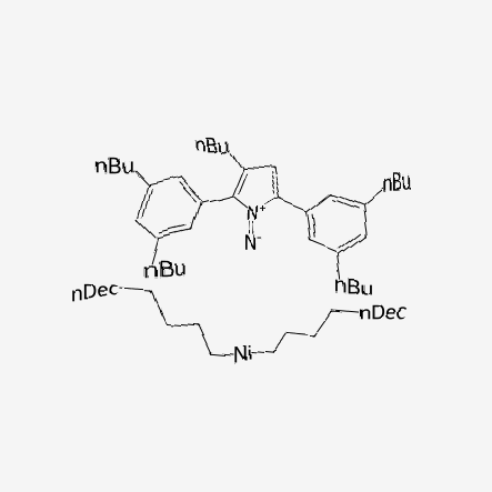 CCCCC1=C(c2cc(CCCC)cc(CCCC)c2)[N+](=[N-])C(c2cc(CCCC)cc(CCCC)c2)=C1.CCCCCCCCCCCCC[CH2][Ni][CH2]CCCCCCCCCCCCC